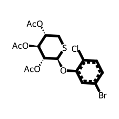 CC(=O)O[C@@H]1[C@@H](OC(C)=O)[C@H](OC(C)=O)CS[C@H]1Oc1cc(Br)ccc1Cl